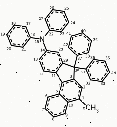 Cc1cc2c(c3ccccc13)-c1ccc(N(c3ccccc3)c3ccccc3)cc1C2(c1ccccc1)c1ccccc1